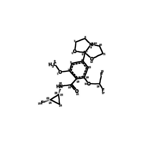 COc1cc([B-]23OCC[NH+]2CCO3)cc(OC(F)F)c1C(=O)N[C@@H]1C[C@@H]1F